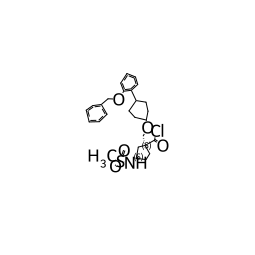 CS(=O)(=O)N[C@H]1CC[C@](COC2CCC(c3ccccc3OCc3ccccc3)CC2)(C(=O)Cl)C1